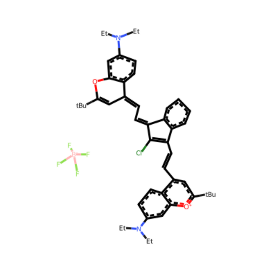 CCN(CC)c1ccc2c(c1)OC(C(C)(C)C)=C\C2=C/C=C1/C(Cl)=C(\C=C\c2cc(C(C)(C)C)[o+]c3cc(N(CC)CC)ccc23)c2ccccc21.F[B-](F)(F)F